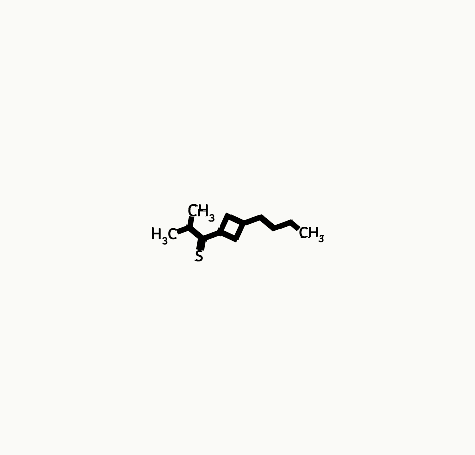 CCCCC1CC(C(=S)C(C)C)C1